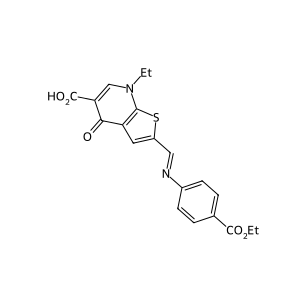 CCOC(=O)c1ccc(N=Cc2cc3c(=O)c(C(=O)O)cn(CC)c3s2)cc1